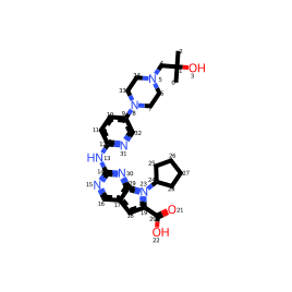 CC(C)(O)CN1CCN(c2ccc(Nc3ncc4cc(C(=O)O)n(C5CCCC5)c4n3)nc2)CC1